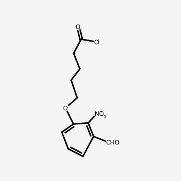 O=Cc1cccc(OCCCCC(=O)Cl)c1[N+](=O)[O-]